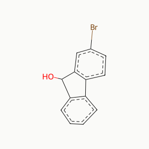 OC1c2ccccc2-c2ccc(Br)cc21